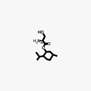 CC1CCC(C(C)C)C(OC(=O)[C@@H](N)CO)C1